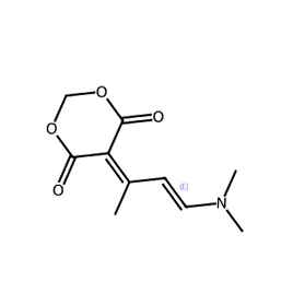 CC(/C=C/N(C)C)=C1C(=O)OCOC1=O